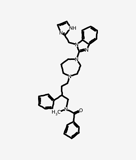 CN(CC(CCN1CCCN(c2nc3ccccc3n2Cc2ncc[nH]2)CC1)c1ccccc1)C(=O)c1ccccc1